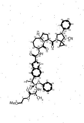 COCCOC(=O)[C@H](C)NP(=O)(Oc1ccccc1)[C@@H](F)c1ccc2sc(C(=O)N[C@H]3CCC[C@H]4CC[C@@H](C(=O)N5C[C@@H](c6ccccc6)[C@H](C#N)C56CC6)N4C3=O)cc2c1